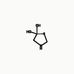 OC1(O)CNCS1